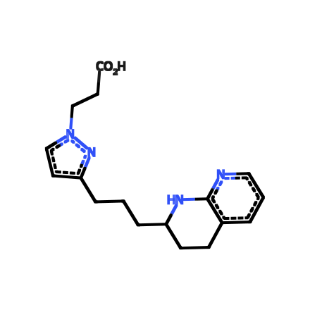 O=C(O)CCn1ccc(CCCC2CCc3cccnc3N2)n1